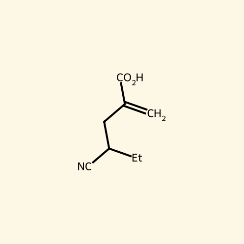 C=C(CC(C#N)CC)C(=O)O